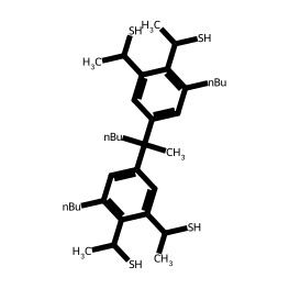 CCCCc1cc(C(C)(CCCC)c2cc(CCCC)c(C(C)S)c(C(C)S)c2)cc(C(C)S)c1C(C)S